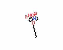 CCCCCCCCCOc1ccc(Br)cc1N1CCC[C@H]1C(=O)O